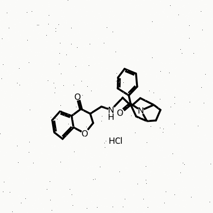 Cl.O=C1c2ccccc2OCC1CNCC1CC2CCC(C1)N2C(=O)c1ccccc1